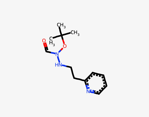 CC(C)(C)ON(C=O)NCCc1ccccn1